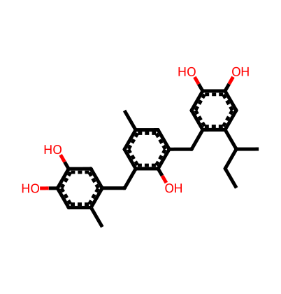 CCC(C)c1cc(O)c(O)cc1Cc1cc(C)cc(Cc2cc(O)c(O)cc2C)c1O